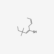 C/C=C\C/C(S)=C\C(C)(C)CC